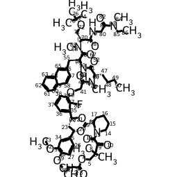 C=CC(=O)OCC(C)(C)C(=O)C(=O)N1CCCC[C@H]1C(=O)O[C@H](CCc1ccc(OC)c(OC)c1)c1cccc(OCC(=O)N(C)[C@@H](CCCC)C(=O)N[C@@H](Cc2ccc3ccccc3c2)C(=O)N(C)[C@@H](COC(C)(C)C)C(=O)NCC(=O)N(C)CC)c1F